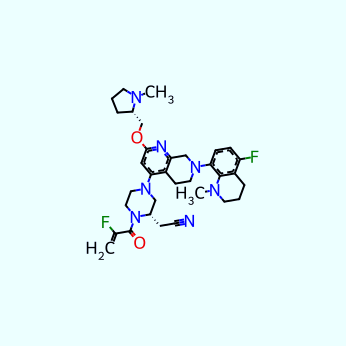 C=C(F)C(=O)N1CCN(c2cc(OC[C@@H]3CCCN3C)nc3c2CCN(c2ccc(F)c4c2N(C)CCC4)C3)C[C@@H]1CC#N